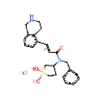 Cl.O=C(/C=C/c1cccc2c1CCNC2)N(Cc1ccccc1)C1CCS(O)(O)C1